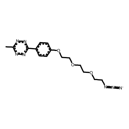 Cc1nnc(-c2ccc(OCCOCCOCCN=[N+]=[N-])cc2)nn1